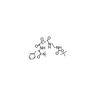 CN(C)C(=O)[C@H](Cc1ccccc1)NC(=O)[C@H]1O[C@@H]1C(=O)NCCNC(=O)OC(C)(C)C